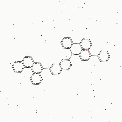 c1ccc(-c2ccc(N(c3ccc4ccc(-c5cc6ccc7ccccc7c6c6ccccc56)cc4c3)c3ccccc3-c3ccccc3)cc2)cc1